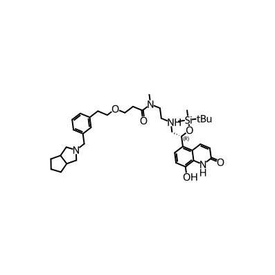 CN(CCNC[C@H](O[Si](C)(C)C(C)(C)C)c1ccc(O)c2[nH]c(=O)ccc12)C(=O)CCOCCc1cccc(CN2CC3CCCC3C2)c1